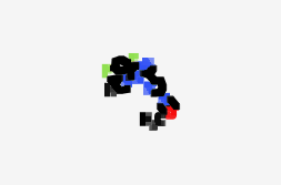 C[C@@H]1CN(c2ccc(-c3cnn4ccc(N5CC[C@H]6C[C@]65c5cc(F)ccc5F)nc34)nc2)CCO1